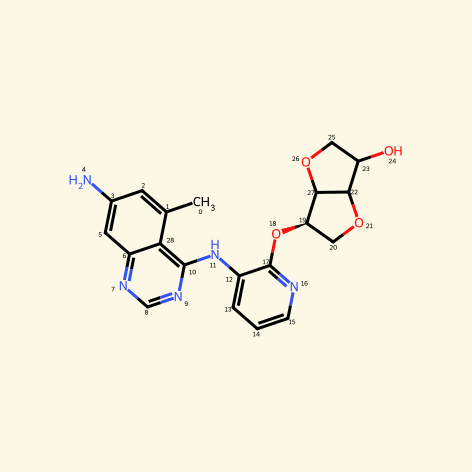 Cc1cc(N)cc2ncnc(Nc3cccnc3O[C@@H]3COC4C(O)COC43)c12